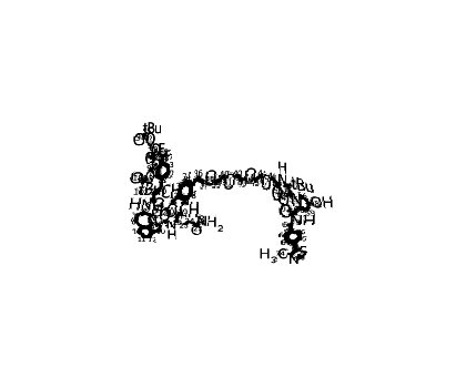 C/C(=C\C(=O)N[C@H]1CCc2cccc3c2N(C1=O)[C@H](C(=O)N[C@@H](CCC(N)=O)[C@@H](C)OCc1ccc(CCOCCOCCOCCOCC(=O)N[C@H](C(=O)N2C[C@H](O)C[C@H]2C(=O)NCc2ccc(-c4scnc4C)cc2)C(C)(C)C)cc1)C3)c1ccc(C(F)(F)P(=O)(OCOC(=O)C(C)(C)C)OCOC(=O)C(C)(C)C)cc1